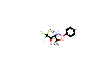 CC(=O)[C@](C)(NOc1ccccc1)C(=O)C(F)(F)F